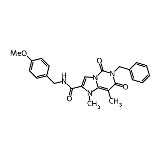 COc1ccc(CNC(=O)c2cn3c(=O)n(Cc4ccccc4)c(=O)c(C)c3n2C)cc1